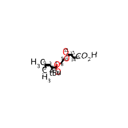 CC(C)=CC(C(=O)OCCOC(=O)CCC(=O)O)C(C)(C)C